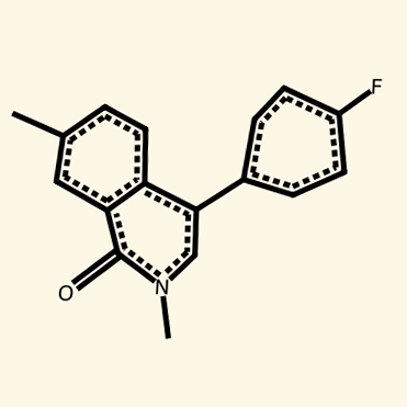 Cc1ccc2c(-c3ccc(F)cc3)cn(C)c(=O)c2c1